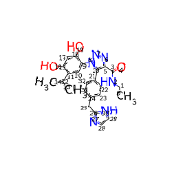 CCNC(=O)c1nnn(-c2cc(C(C)C)c(O)cc2O)c1-c1ccc(Cc2ncc[nH]2)cc1